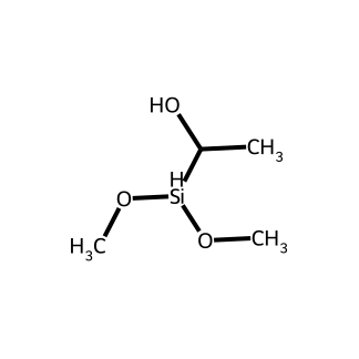 CO[SiH](OC)C(C)O